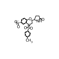 Cc1ccc(S(=O)(=O)N2CC(C3CCC(=O)N3)Oc3ccc([N+](=O)[O-])cc32)cc1